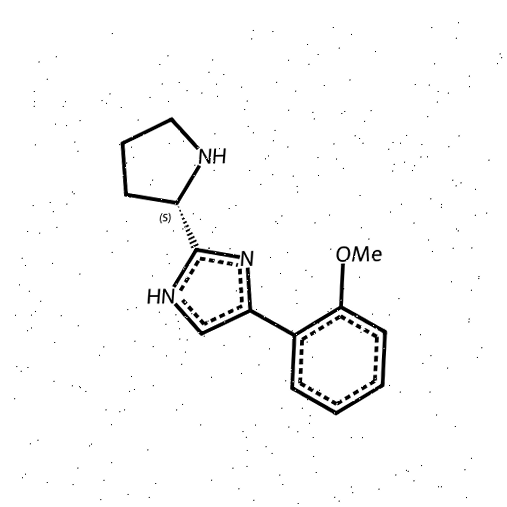 COc1ccccc1-c1c[nH]c([C@@H]2CCCN2)n1